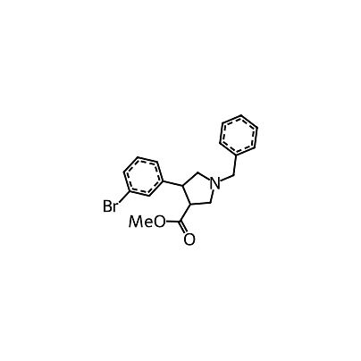 COC(=O)C1CN(Cc2ccccc2)CC1c1cccc(Br)c1